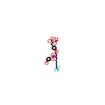 CCOC(Cc1ccc(OCCN(CCCCCCC(F)(F)F)C(=O)Oc2cccc(OC)c2)cc1)C(=O)O